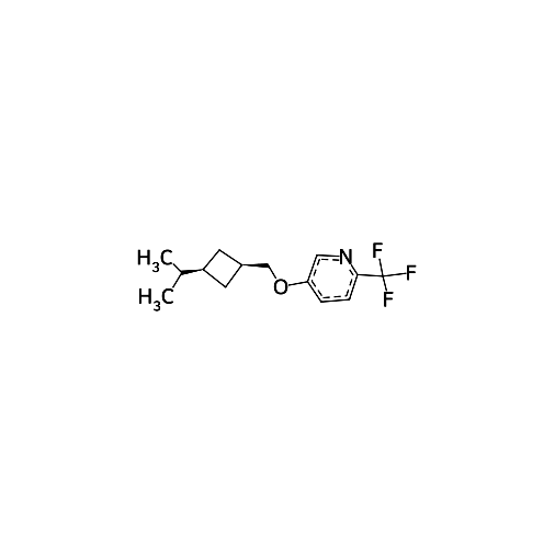 CC(C)[C@H]1C[C@@H](COc2ccc(C(F)(F)F)nc2)C1